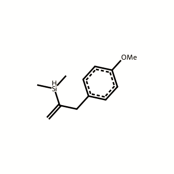 C=C(Cc1ccc(OC)cc1)[SiH](C)C